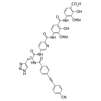 COc1c(NC(=O)c2ccc(NC(=O)c3ccc(NC(=O)[C@H](Cc4c[nH]nn4)NC(=O)c4ccc(C#Cc5ccc(C#N)cc5)cc4)cn3)c(OC)c2O)ccc(C(=O)O)c1O